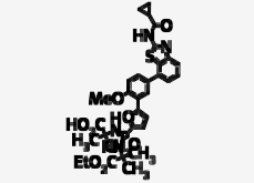 CCOC(=O)C(C)(C)NP(=O)(NC(C)(C)C(=O)O)c1ccc(-c2cc(-c3cccc4nc(NC(=O)C5CC5)sc34)ccc2OC)o1